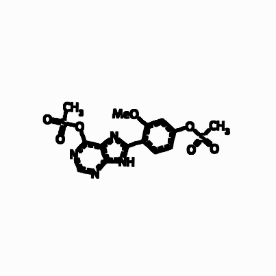 COc1cc(OS(C)(=O)=O)ccc1-c1nc2c(OS(C)(=O)=O)ncnc2[nH]1